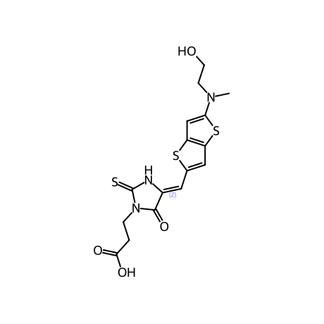 CN(CCO)c1cc2sc(/C=C3\NC(=S)N(CCC(=O)O)C3=O)cc2s1